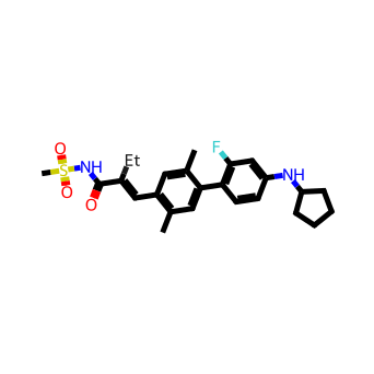 CC/C(=C\c1cc(C)c(-c2ccc(NC3CCCC3)cc2F)cc1C)C(=O)NS(C)(=O)=O